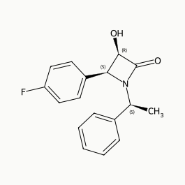 C[C@@H](c1ccccc1)N1C(=O)[C@H](O)[C@@H]1c1ccc(F)cc1